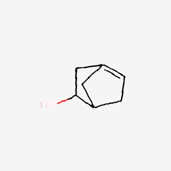 OC1CC2=CCC1C2